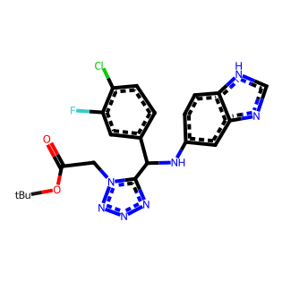 CC(C)(C)OC(=O)Cn1nnnc1C(Nc1ccc2[nH]cnc2c1)c1ccc(Cl)c(F)c1